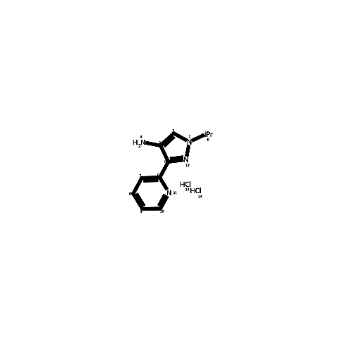 CC(C)n1cc(N)c(-c2ccccn2)n1.Cl.Cl